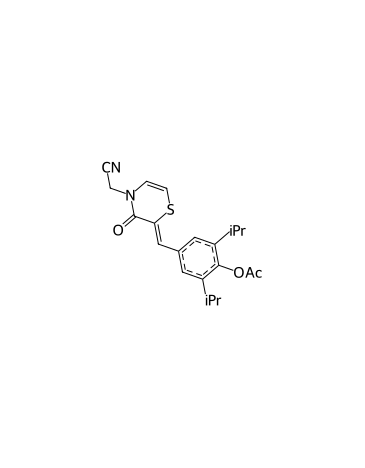 CC(=O)Oc1c(C(C)C)cc(/C=C2\SC=CN(CC#N)C2=O)cc1C(C)C